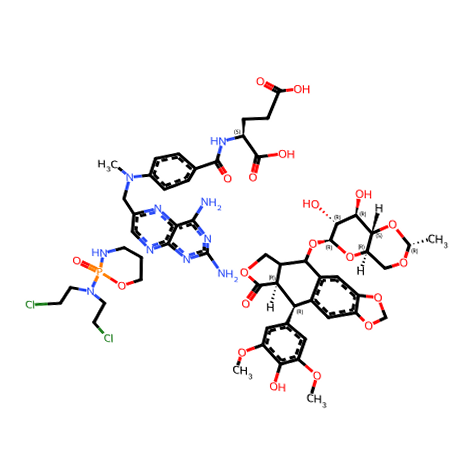 CN(Cc1cnc2nc(N)nc(N)c2n1)c1ccc(C(=O)N[C@@H](CCC(=O)O)C(=O)O)cc1.COc1cc([C@@H]2c3cc4c(cc3C(O[C@@H]3O[C@@H]5CO[C@@H](C)O[C@H]5[C@H](O)[C@H]3O)C3COC(=O)[C@@H]32)OCO4)cc(OC)c1O.O=P1(N(CCCl)CCCl)NCCCO1